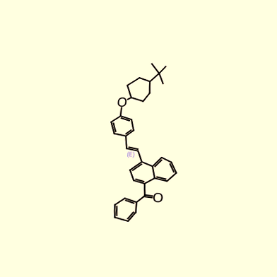 CC(C)(C)C1CCC(Oc2ccc(/C=C/c3ccc(C(=O)c4ccccc4)c4ccccc34)cc2)CC1